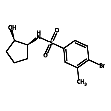 Cc1cc(S(=O)(=O)N[C@H]2CCC[C@H]2O)ccc1Br